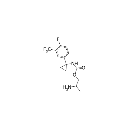 CC(N)COC(=O)NC1(c2ccc(F)c(C(F)(F)F)c2)CC1